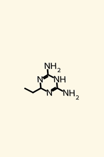 CCC1N=C(N)NC(N)=N1